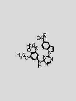 COc1cc(Nc2ncnc(-n3ccc4cc([N+](=O)[O-])ccc43)n2)cc(OC)c1OC